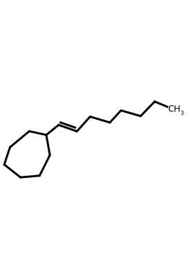 CCCCCCC=CC1CCCCCC1